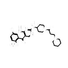 COc1ccc(F)cc1C(=O)c1cnc(NC2CCN(C(=O)CCN3CCCCC3)CC2)nc1N